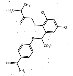 CN(C)C(=O)COc1c(Cl)cc(Cl)cc1C(Nc1ccc(C(=N)N)cc1)C(=O)O